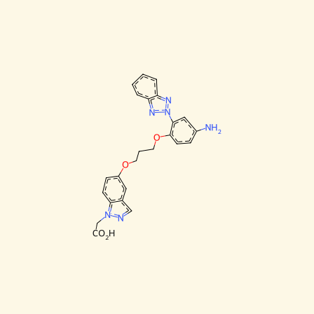 Nc1ccc(OCCCOc2ccc3c(cnn3CC(=O)O)c2)c(-n2nc3ccccc3n2)c1